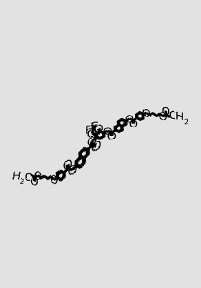 C=CC(=O)OCCCCOc1ccc(C(=O)Oc2ccc3cc(C(=O)Oc4ccc(OC(=O)c5ccc6cc(OC(=O)c7ccc(OCCCCOC(=O)C=C)cc7)ccc6c5)c5c4OC(F)(F)O5)ccc3c2)cc1